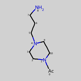 CC(=O)N1CCN(CCCN)CC1